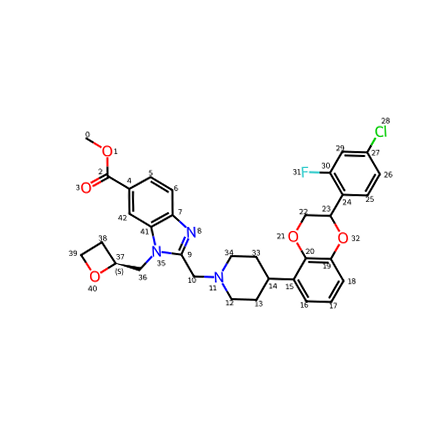 COC(=O)c1ccc2nc(CN3CCC(c4cccc5c4OCC(c4ccc(Cl)cc4F)O5)CC3)n(C[C@@H]3CCO3)c2c1